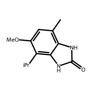 COc1cc(C)c2[nH]c(=O)[nH]c2c1C(C)C